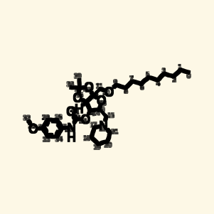 CCCCCCCCCCOC[C@@]12O[C@@H](CN3CCCCC3)[C@@H](OC(=O)Nc3ccc(OC)cc3)[C@@H]1OC(C)(C)O2